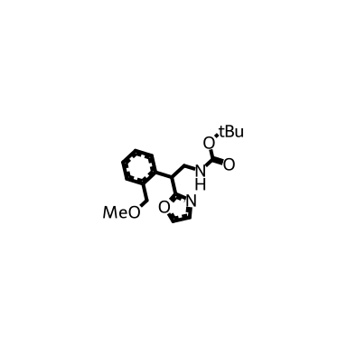 COCc1ccccc1C(CNC(=O)OC(C)(C)C)c1ncco1